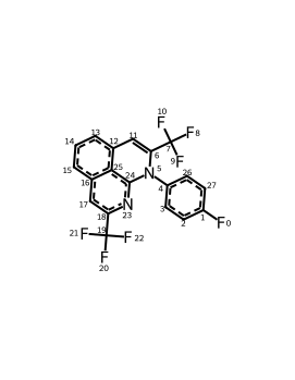 Fc1ccc(N2C(C(F)(F)F)=Cc3cccc4cc(C(F)(F)F)nc2c34)cc1